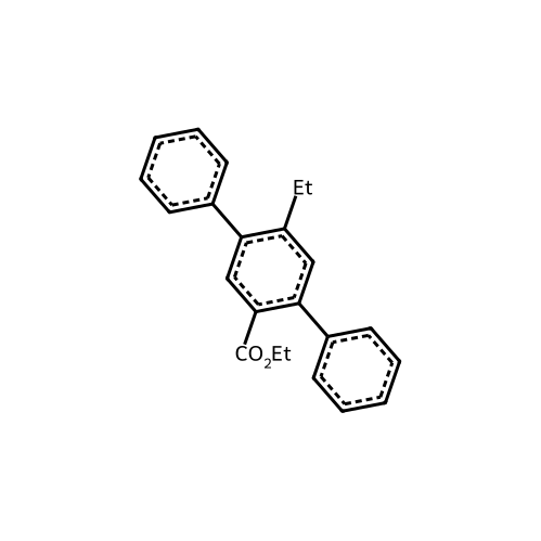 CCOC(=O)c1cc(-c2ccccc2)c(CC)cc1-c1ccccc1